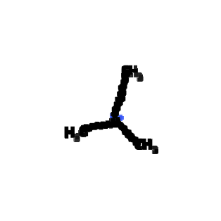 CCCCCCCCCCCCCCCCC[n+]1cc(CCCCCCCCCCC)cc(CCCCCCCCCCC)c1